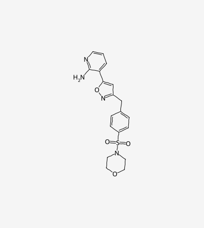 Nc1ncccc1-c1cc(Cc2ccc(S(=O)(=O)N3CCOCC3)cc2)no1